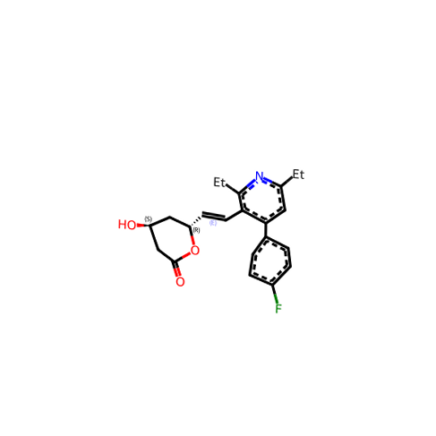 CCc1cc(-c2ccc(F)cc2)c(/C=C/[C@H]2C[C@H](O)CC(=O)O2)c(CC)n1